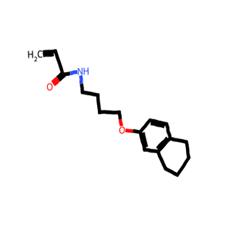 C=CC(=O)NCCCCOc1ccc2c(c1)CCCC2